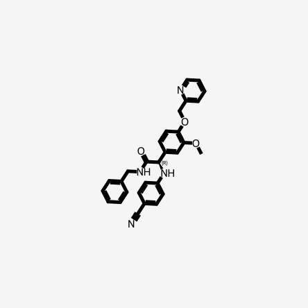 COc1cc([C@@H](Nc2ccc(C#N)cc2)C(=O)NCc2ccccc2)ccc1OCc1ccccn1